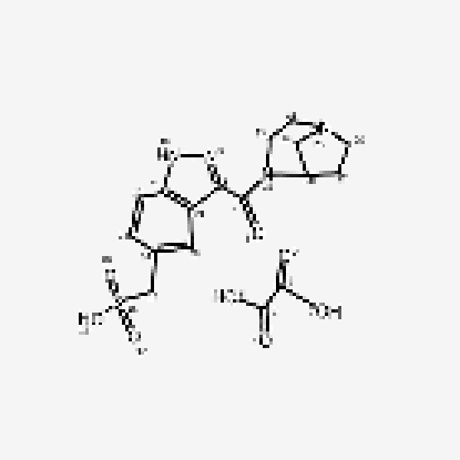 O=C(O)C(=O)O.O=C(c1n[nH]c2ccc(CS(=O)(=O)O)cc12)N1CCN2CCC1C2